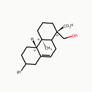 CC(C)C1CC[C@H]2C(=CCC3[C@](CO)(C(=O)O)CCC[C@@]32C)C1